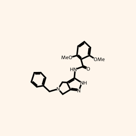 COc1cccc(OC)c1C(=O)Nc1[nH]nc2c1CN(Cc1ccccc1)C2